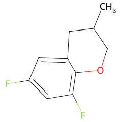 CC1COc2c(F)cc(F)cc2C1